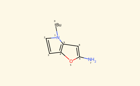 CC(C)(C)n1ccc2oc(N)cc21